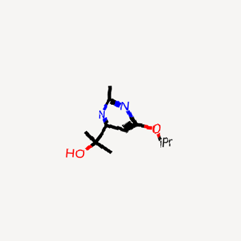 Cc1nc(OC(C)C)cc(C(C)(C)O)n1